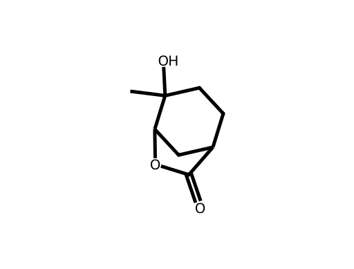 CC1(O)CCC2CC1OC2=O